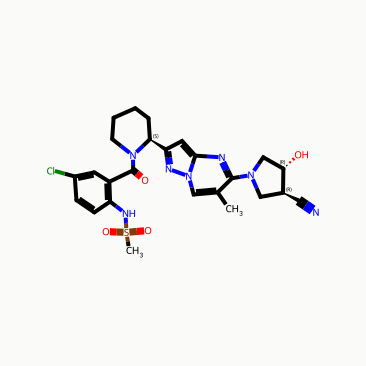 Cc1cn2nc([C@@H]3CCCCN3C(=O)c3cc(Cl)ccc3NS(C)(=O)=O)cc2nc1N1C[C@H](O)[C@@H](C#N)C1